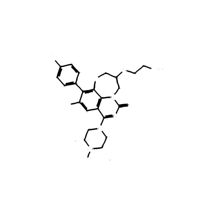 COCCNC1CSc2c(-c3ccc(F)cc3)c(C(F)(F)F)cc3c(N4C[C@@H](C)N(C(C)=O)[C@@H](C)C4)nc(=O)n(c23)C1